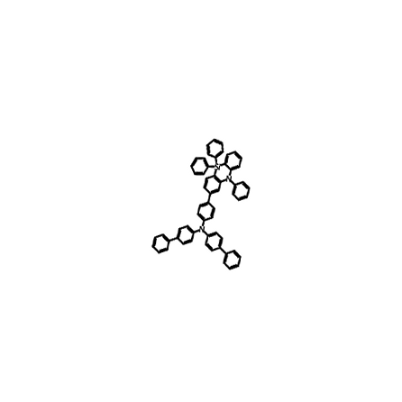 c1ccc(-c2ccc(N(c3ccc(-c4ccccc4)cc3)c3ccc(-c4ccc5c(c4)N(c4ccccc4)c4ccccc4[Si]5(c4ccccc4)c4ccccc4)cc3)cc2)cc1